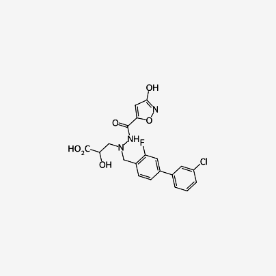 O=C(NN(Cc1ccc(-c2cccc(Cl)c2)cc1F)CC(O)C(=O)O)c1cc(O)no1